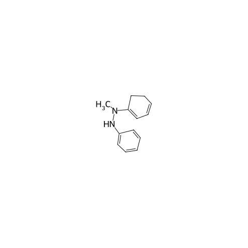 CN(Nc1ccccc1)C1=CC=CCC1